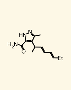 CC/C=C/C=C/C(C)c1c(C)n[nH]c1C(N)=O